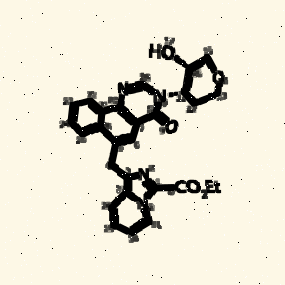 CCOC(=O)c1nc(Cc2cc3c(=O)n([C@H]4CCOC[C@@H]4O)cnc3c3ccccc23)c2ccccn12